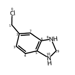 ClCc1ccc2c(c1)N[CH]N2